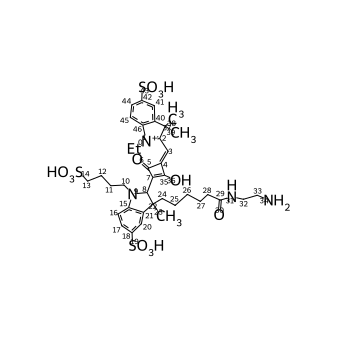 CC[N+]1=C(C=C2C(=O)C(C3N(CCCCS(=O)(=O)O)c4ccc(S(=O)(=O)O)cc4C3(C)CCCCCC(=O)NCCN)=C2O)C(C)(C)c2cc(S(=O)(=O)O)ccc21